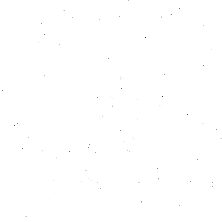 Cc1cc(-c2n[nH]c3cc(NC(=O)NCC(O)C(F)F)ncc23)ccn1